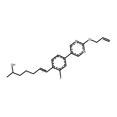 C=CCOc1ncc(-c2ccc(/C=C/CCCC(C)O)c(F)c2)cn1